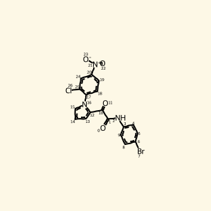 O=C(Nc1ccc(Br)cc1)C(=O)c1cccn1-c1ccc([N+](=O)[O-])cc1Cl